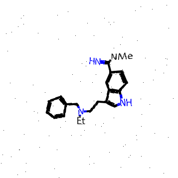 CCN(CCc1c[nH]c2ccc(C(=N)NC)cc12)Cc1ccccc1